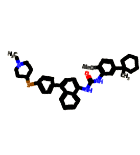 COc1ccc(C2(C)CCCCC2)cc1NC(=O)Nc1ccc(-c2ccc(SC3CCN(C)CC3)cc2)c2ccccc12